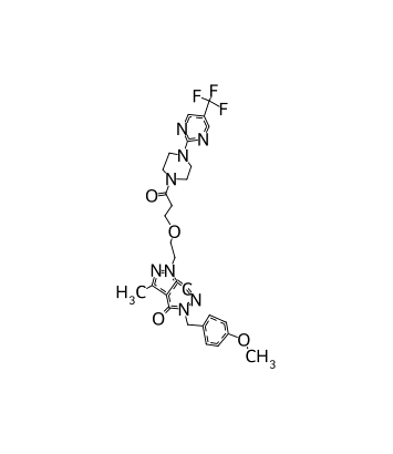 COc1ccc(Cn2ncc3c(c(C)nn3CCOCCC(=O)N3CCN(c4ncc(C(F)(F)F)cn4)CC3)c2=O)cc1